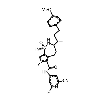 COc1ccc(CC[C@H](C)C2CCc3c(cn(C)c3C(=O)Nc3cc(F)nc(C#N)c3)S(=N)(=O)N2)cc1